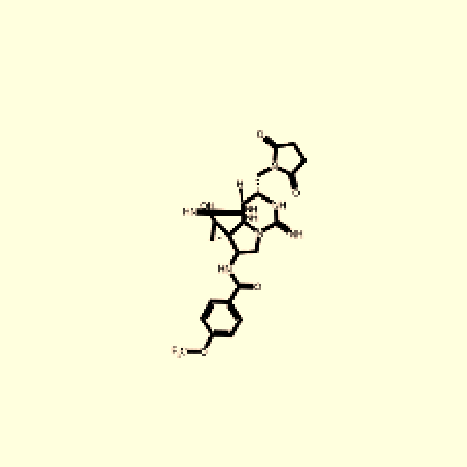 N=C1N[C@H]2[C@H](CN3C(=O)CCC3=O)NC(=N)N3CC(NC(=O)c4ccc(OC(F)(F)F)cc4)[C@]4(CC4O)C23N1